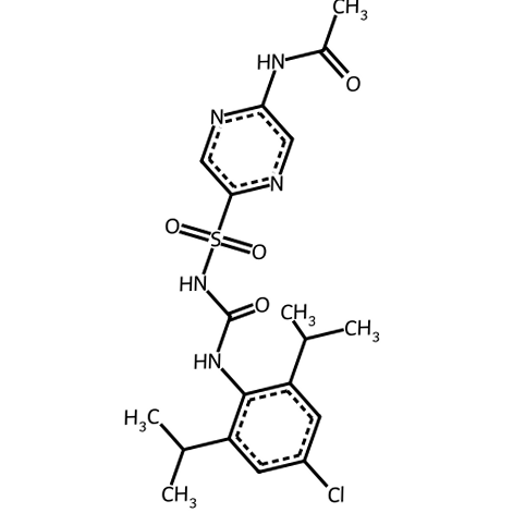 CC(=O)Nc1cnc(S(=O)(=O)NC(=O)Nc2c(C(C)C)cc(Cl)cc2C(C)C)cn1